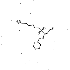 NCCCCCCS(=O)(=O)N(CCF)OCC1CCCCC1